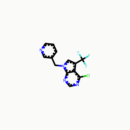 FC(F)(F)c1cn(Cc2cccnc2)c2ncnc(Cl)c12